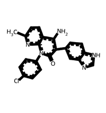 Cc1ccc2c(N)c(-c3ccc4[nH]cnc4c3)c(=O)n(-c3ccc(Cl)cc3)c2n1